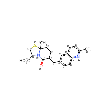 CC12CCC(Cc3ccc4nc(C(F)(F)F)ccc4c3)C(=O)N1C(C(=O)O)CS2